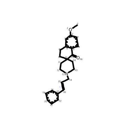 COc1ccc2c(c1)CCC1(CCN(C/C=C/c3ccccc3)CC1)C2=O